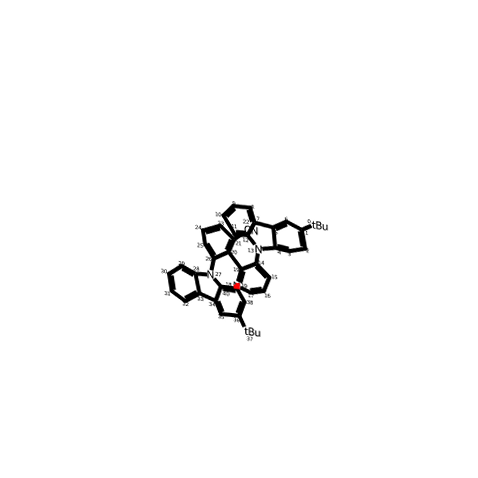 CC(C)(C)c1ccc2c(c1)c1ccccc1n2-c1cccnc1-c1c(C#N)cccc1-n1c2ccccc2c2cc(C(C)(C)C)ccc21